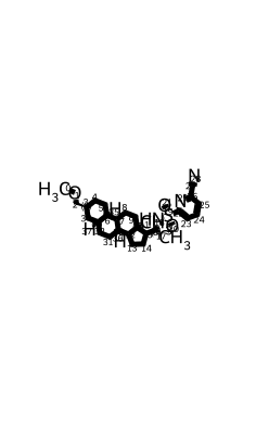 COC[C@H]1CC[C@@H]2C3CC[C@@]4(C)C(CCC4[C@H](C)NS(=O)(=O)c4cccc(C#N)n4)[C@@H]3CC[C@@H]2C1